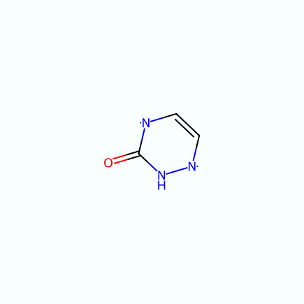 O=C1[N]C=C[N]N1